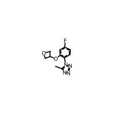 Cc1nnnn1-c1ccc(F)cc1OC1COC1